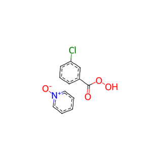 O=C(OO)c1cccc(Cl)c1.[O-][n+]1ccccc1